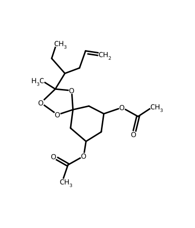 C=CCC(CC)C1(C)OOC2(CC(OC(C)=O)CC(OC(C)=O)C2)O1